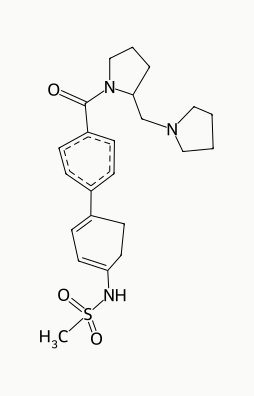 CS(=O)(=O)NC1=CC=C(c2ccc(C(=O)N3CCCC3CN3CCCC3)cc2)CC1